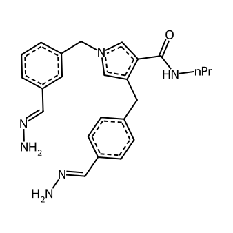 CCCNC(=O)c1cn(Cc2cccc(C=NN)c2)cc1Cc1ccc(C=NN)cc1